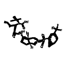 CCCC(C(=O)N[C@H]1CC[C@@H]2CN(S(=O)(=O)c3cccc(C(F)(F)F)c3)C[C@@H]21)N(C(=O)O)C(C)(C)C